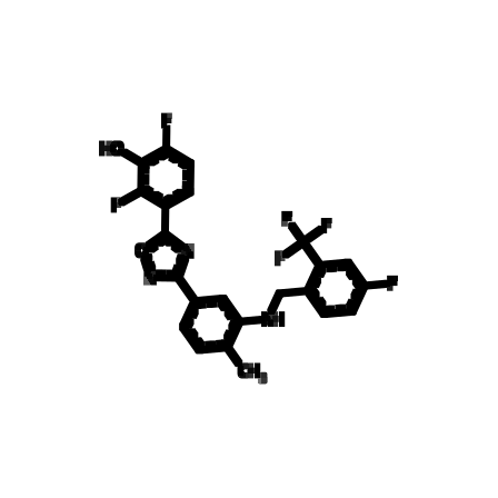 Cc1ccc(-c2noc(-c3ccc(F)c(O)c3F)n2)cc1NCc1ccc(F)cc1C(F)(F)F